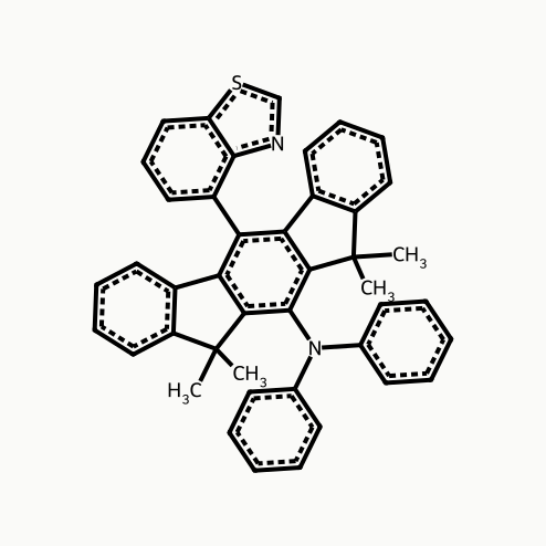 CC1(C)c2ccccc2-c2c(-c3cccc4scnc34)c3c(c(N(c4ccccc4)c4ccccc4)c21)C(C)(C)c1ccccc1-3